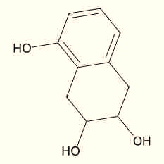 Oc1cccc2c1CC(O)C(O)C2